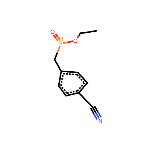 CCO[PH](=O)Cc1ccc(C#N)cc1